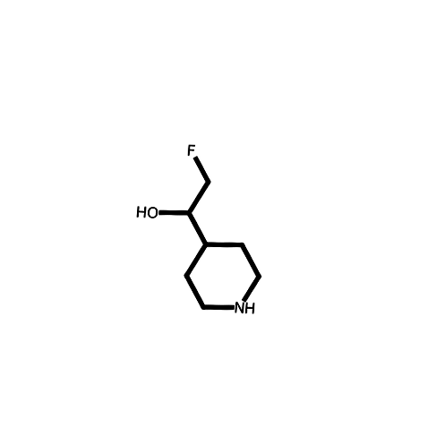 OC(CF)C1CCNCC1